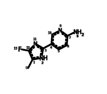 Cc1[nH]c(-c2ccc(N)nc2)nc1F